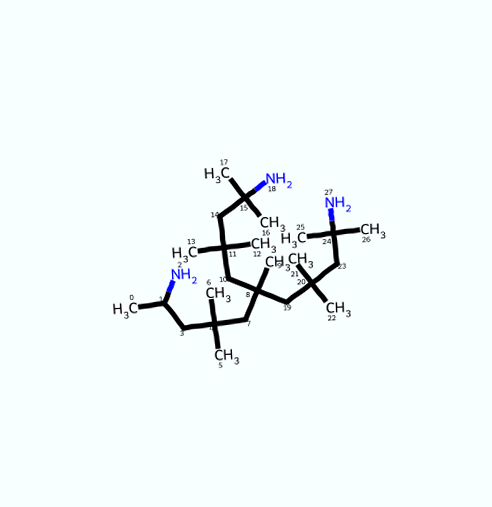 CC(N)CC(C)(C)CC(C)(CC(C)(C)CC(C)(C)N)CC(C)(C)CC(C)(C)N